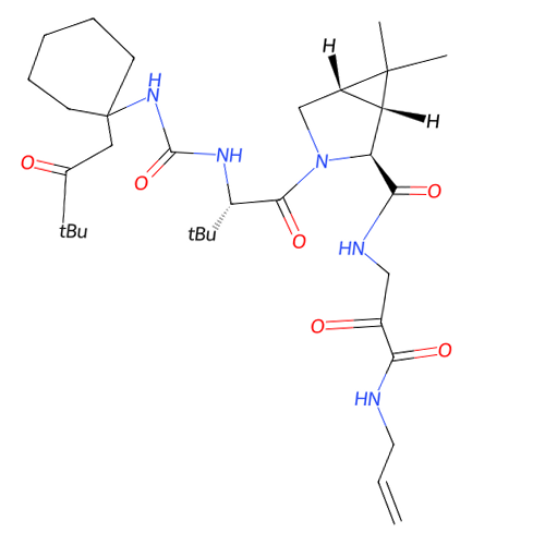 C=CCNC(=O)C(=O)CNC(=O)[C@@H]1[C@@H]2[C@H](CN1C(=O)[C@@H](NC(=O)NC1(CC(=O)C(C)(C)C)CCCCC1)C(C)(C)C)C2(C)C